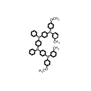 COc1ccc(N(C2=CC(C)CC=C2)c2ccc(N(c3ccccc3)c3ccc(N(c4ccccc4)c4ccc(N(c5ccc(OC)cc5)c5cccc(C)c5)cc4)cc3)cc2)cc1